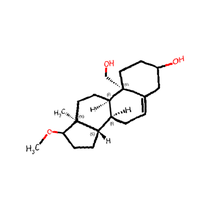 COC1CC[C@H]2[C@@H]3CC=C4CC(O)CC[C@]4(CO)[C@@H]3CC[C@]12C